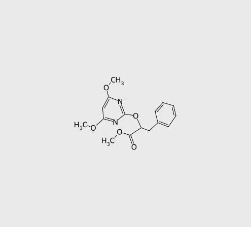 COC(=O)C(Cc1ccccc1)Oc1nc(OC)cc(OC)n1